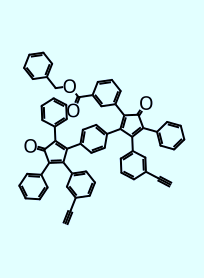 C#Cc1cccc(C2=C(c3ccccc3)C(=O)C(c3ccccc3)=C2c2ccc(C3=C(c4cccc(C(=O)OCc5ccccc5)c4)C(=O)C(c4ccccc4)=C3c3cccc(C#C)c3)cc2)c1